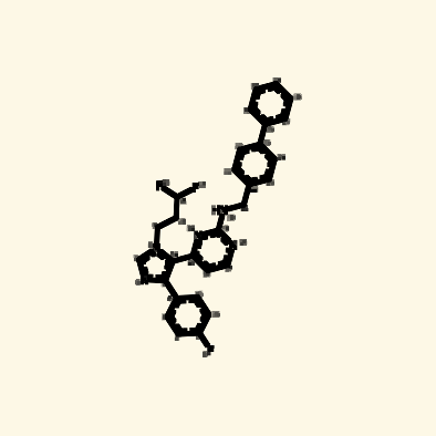 Fc1ccc(-c2ncn(CCC(F)F)c2-c2ccnc(NCc3ccc(-c4ccccc4)cc3)n2)cc1